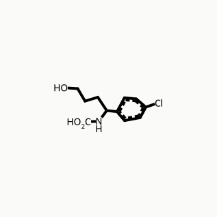 O=C(O)NC(CCCO)c1ccc(Cl)cc1